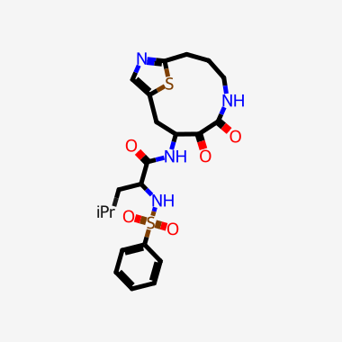 CC(C)CC(NS(=O)(=O)c1ccccc1)C(=O)NC1Cc2cnc(s2)CCCNC(=O)C1=O